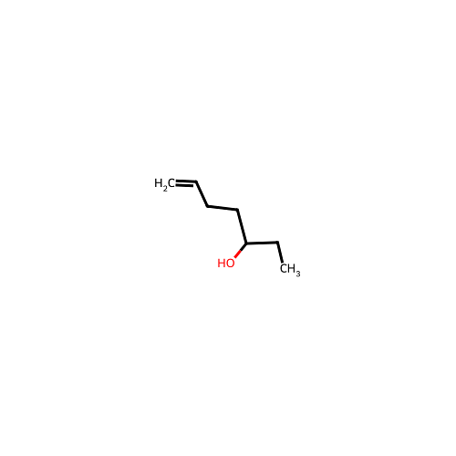 C=CCCC(O)CC